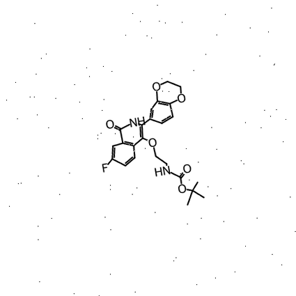 CC(C)(C)OC(=O)NCCOc1c(-c2ccc3c(c2)OCCO3)[nH]c(=O)c2cc(F)ccc12